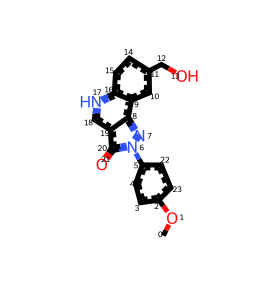 COc1ccc(-n2nc3c4cc(CO)ccc4[nH]cc-3c2=O)cc1